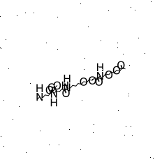 CNCCCC(=O)NC(CCC(=O)NCCCCCOCCOCC(=O)NCCOCCOCC(C)=O)C(=O)O